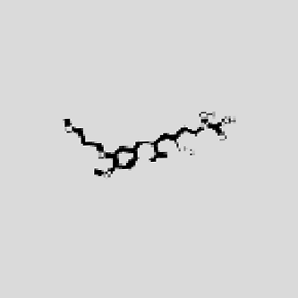 COCCCOc1cc(C[C@@H](C[C@H](N)CCN(O)C(=O)O)C(C)C)ccc1OC